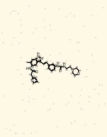 Cc1cc2[nH]nc(/C=C/c3cccc(NC(=O)NCCN4CCOCC4)c3)c2cc1NC(=O)Cc1cccs1